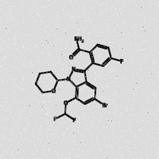 NC(=O)c1ccc(F)cc1-c1nn(C2CCCCO2)c2c(OC(F)F)cc(Br)cc12